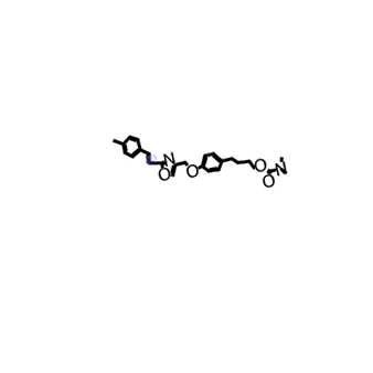 Cc1ccc(/C=C/c2nc(COc3ccc(CCCCOC(=O)N(C)C)cc3)co2)cc1